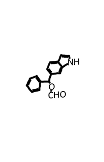 O=COC(c1ccccc1)c1ccc2cc[nH]c2c1